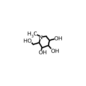 CN1CC(O)C(O)C(O)C1CO